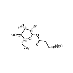 CCCCCCCCCCCC(=O)OC1O[C@H](CO)[C@@H](O)[C@H](O)[C@@H]1O